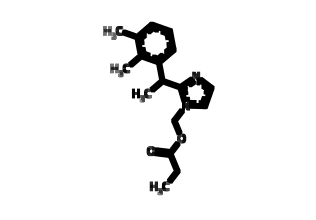 CCC(=O)OCn1ccnc1C(C)c1cccc(C)c1C